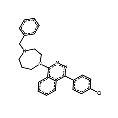 Clc1ccc(-c2nnc(N3CCCN(Cc4ccccc4)CC3)c3ccccc23)cc1